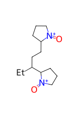 CCC(CCC1CCC[N+]1=O)C1CCC[N+]1=O